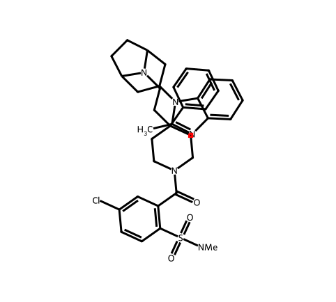 CNS(=O)(=O)c1ccc(Cl)cc1C(=O)N1CCC(CCN2C3CCC2CC(n2c(C)nc4ccccc42)C3)(c2ccccc2)CC1